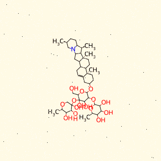 CC1OC(OC2C(OC3CC[C@@]4(C)C(=CCC5C6CC7C([C@H](C)C8CC[C@H](C)CN78)[C@@]6(C)CCC54)C3)OC(CO)C(O)(OC3(O)COC(C)C(O)C3O)C2O)C(O)C(O)C1O